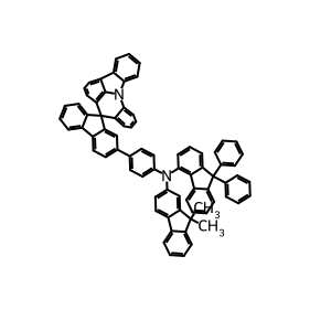 CC1(C)c2ccccc2-c2ccc(N(c3ccc(-c4ccc5c(c4)C4(c6ccccc6-5)c5ccccc5-n5c6ccccc6c6cccc4c65)cc3)c3cccc4c3-c3ccccc3C4(c3ccccc3)c3ccccc3)cc21